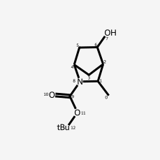 CC1C2CC(CC2O)N1C(=O)OC(C)(C)C